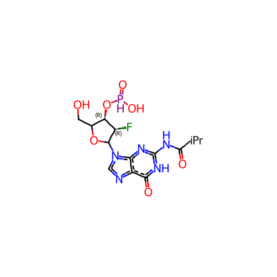 CC(C)C(=O)Nc1nc2c(ncn2C2OC(CO)[C@@H](O[PH](=O)O)[C@H]2F)c(=O)[nH]1